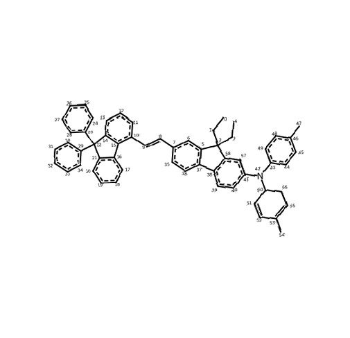 CCC1(CC)c2cc(/C=C/c3cccc4c3-c3ccccc3C4(c3ccccc3)c3ccccc3)ccc2-c2ccc(N(c3ccc(C)cc3)C3C=CC(C)=CC3)cc21